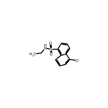 CCNS(=O)(=O)c1cccc2c(Cl)cccc12